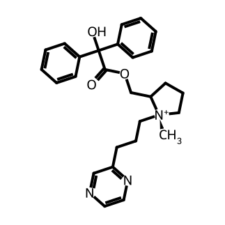 C[N@+]1(CCCc2cnccn2)CCCC1COC(=O)C(O)(c1ccccc1)c1ccccc1